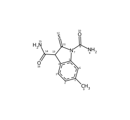 Cc1ccc2c(c1)N(C(N)=O)C(=S)C2C(N)=O